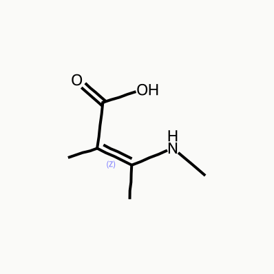 CN/C(C)=C(/C)C(=O)O